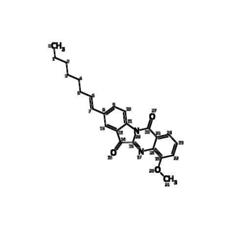 CCCCCCC=Cc1ccc2c(c1)C(=O)c1nc3c(OC)cccc3c(=O)n1-2